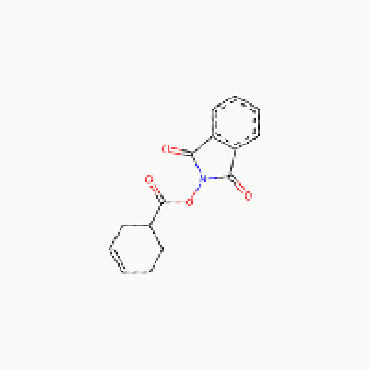 O=C(ON1C(=O)c2ccccc2C1=O)C1CC=CCC1